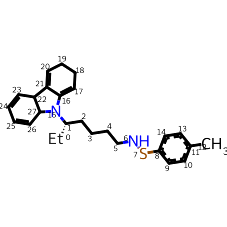 CC[C@@H](CCCCNSc1ccc(C)cc1)N1C2=CCCC=C2C2C=CC=CC21